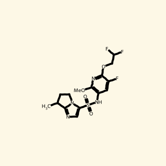 COc1nc(OCC(F)F)c(F)cc1NS(=O)(=O)c1cnc2n1CCC2C